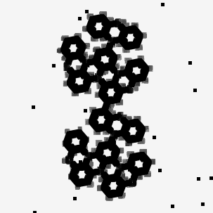 c1ccc2c(c1)Oc1cccc3c1N2c1cc(N2c4ccccc4Sc4c(-c5cc6c7c(c5)B5c8cccc9c8N(c8ccccc8S9)c8cc(N9c%10ccccc%10Sc%10ccccc%109)cc(c85)N7c5ccccc5S6)cccc42)cc2c1B3c1cccc3c1N2c1ccccc1O3